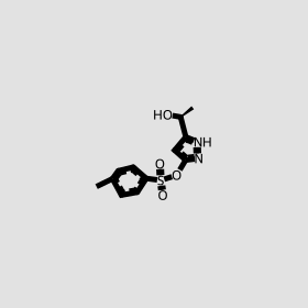 Cc1ccc(S(=O)(=O)Oc2cc([C@H](C)O)[nH]n2)cc1